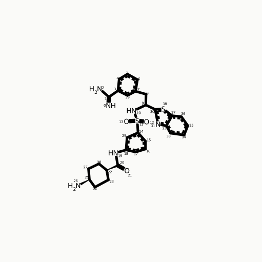 N=C(N)c1cccc(CC(NS(=O)(=O)c2cccc(NC(=O)[C@H]3CC[C@@H](N)CC3)c2)c2nc3ccccc3s2)c1